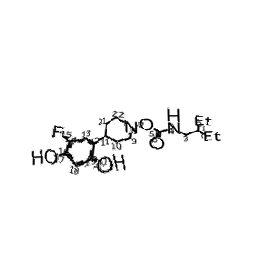 CCC(CC)CNC(=O)ON1CCC(c2cc(F)c(O)cc2O)CC1